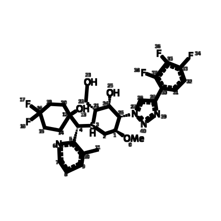 CO[C@H]1C[SH]([C@H](c2ncccc2C)C2(O)CCC(F)(F)CC2)[C@H](CO)[C@H](O)[C@@H]1n1cc(-c2ccc(F)c(F)c2F)nn1